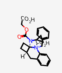 O=C(O)COC(=O)N(C1CC1)[C@@]12CC[C@@H]1Cc1ccccc1[N@@+]2(Cc1ccccc1)C(=O)O